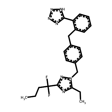 CCCC(F)(F)c1nc(CC)n(Cc2ccc(Cc3ccccc3-c3nnn[nH]3)cc2)n1